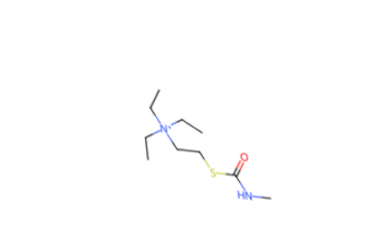 CC[N+](CC)(CC)CCSC(=O)NC